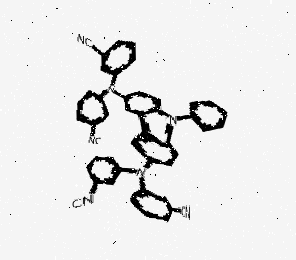 [C-]#[N+]c1cccc(N(c2cccc(C#N)c2)c2ccc3c(c2)c2cc(N(c4cccc(C#N)c4)c4cccc([N+]#[C-])c4)ccc2n3-c2ccccc2)c1